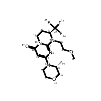 COCCN1c2nc(N3CCOC[C@H]3C)cc(=O)n2CC[C@H]1C(F)(F)F